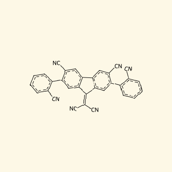 N#CC(C#N)=C1c2cc(-c3ccccc3C#N)c(C#N)cc2-c2cc(C#N)c(-c3ccccc3C#N)cc21